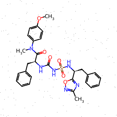 COc1ccc(N(C)C(=O)[C@H](Cc2ccccc2)NC(=O)NS(=O)(=O)N[C@@H](Cc2ccccc2)c2nc(C)no2)cc1